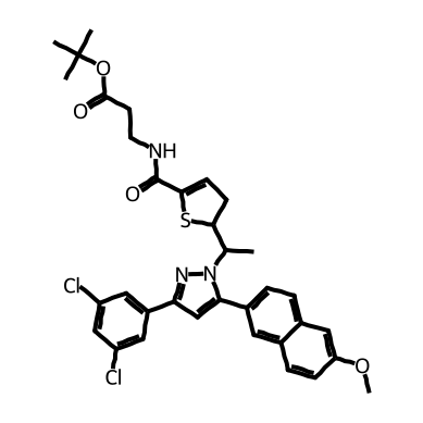 COc1ccc2cc(-c3cc(-c4cc(Cl)cc(Cl)c4)nn3C(C)C3CC=C(C(=O)NCCC(=O)OC(C)(C)C)S3)ccc2c1